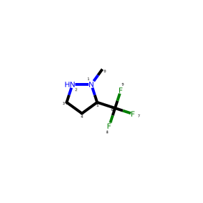 CN1N[CH]CC1C(F)(F)F